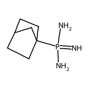 N=P(N)(N)C12CCC(CC1)C2